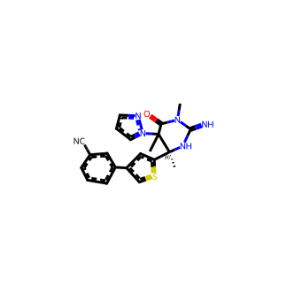 CN1C(=N)N[C@@](C)(c2cc(-c3cccc(C#N)c3)cs2)C(C)(n2cccn2)C1=O